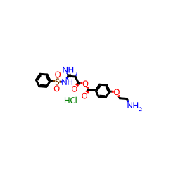 Cl.NCCOc1ccc(C(=O)OC(=O)C[C@@H](N)NS(=O)(=O)c2ccccc2)cc1